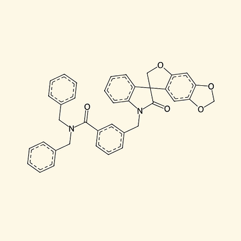 O=C(c1cccc(CN2C(=O)C3(COc4cc5c(cc43)OCO5)c3ccccc32)c1)N(Cc1ccccc1)Cc1ccccc1